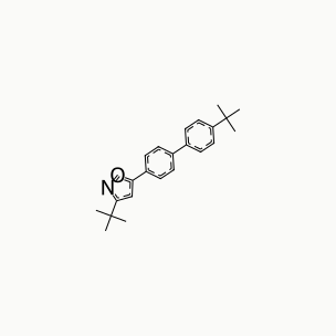 CC(C)(C)c1ccc(-c2ccc(-c3cc(C(C)(C)C)no3)cc2)cc1